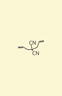 C=CCC(C#N)(C#N)CC=C